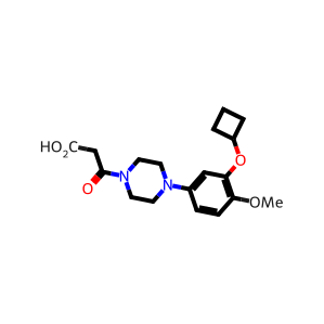 COc1ccc(N2CCN(C(=O)CC(=O)O)CC2)cc1OC1CCC1